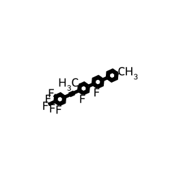 Cc1ccc(-c2ccc(-c3cc(C)c(C#Cc4cc(F)c(C(F)(F)F)c(F)c4)c(F)c3)c(F)c2)cc1